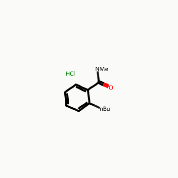 CCCCc1ccccc1C(=O)NC.Cl